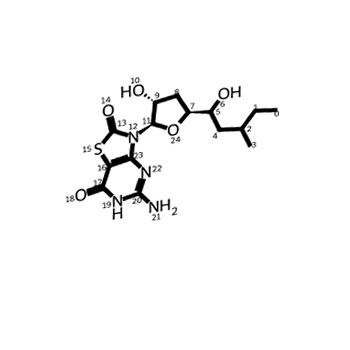 CCC(C)CC(O)[C@@H]1C[C@@H](O)[C@H](n2c(=O)sc3c(=O)[nH]c(N)nc32)O1